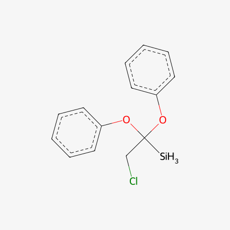 [SiH3]C(CCl)(Oc1ccccc1)Oc1ccccc1